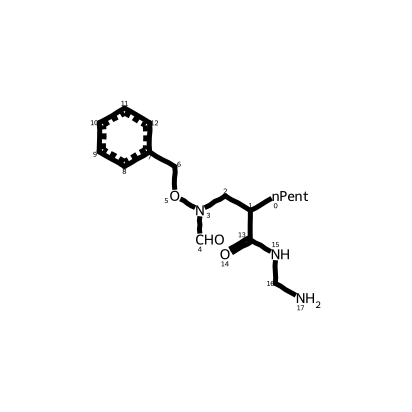 CCCCCC(CN(C=O)OCc1ccccc1)C(=O)NCN